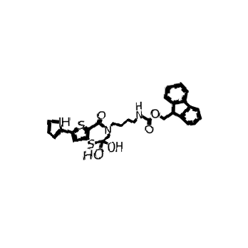 O=C(NCCCCN1CC(O)(O)Sc2cc(C3=CC=C[IH]3)sc2C1=O)OCC1c2ccccc2-c2ccccc21